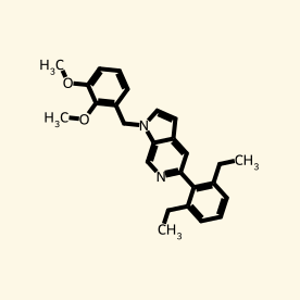 CCc1cccc(CC)c1-c1cc2ccn(Cc3cccc(OC)c3OC)c2cn1